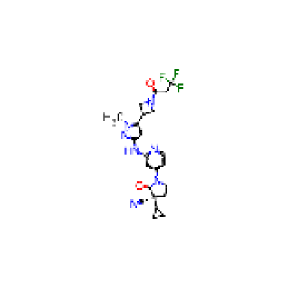 Cn1nc(Nc2cc(N3CC[C@@](C#N)(C4CC4)C3=O)ccn2)cc1C1CN(C(=O)CC(F)(F)F)C1